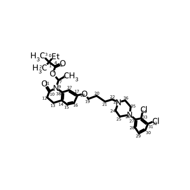 CCC(C)(C)C(=O)OC(C)N1C(=O)CCc2ccc(OCCCCN3CCN(c4cccc(Cl)c4Cl)CC3)cc21